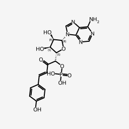 Nc1ncnc2c1ncn2[C@@H]1O[C@H](C(OP(=O)(O)O)C(=O)C=Cc2ccc(O)cc2)[C@@H](O)[C@H]1O